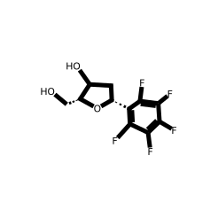 OC[C@H]1O[C@@H](c2c(F)c(F)c(F)c(F)c2F)CC1O